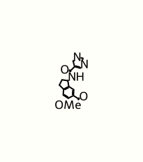 COC(=O)c1ccc2c(c1)C(NC(=O)c1cncnc1)CC2